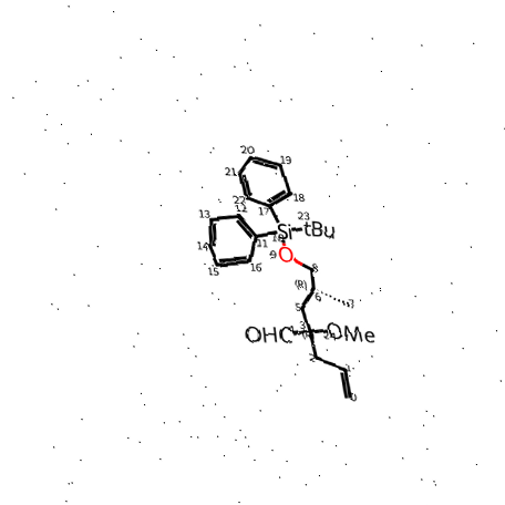 C=CC[C@](C=O)(C[C@@H](C)CO[Si](c1ccccc1)(c1ccccc1)C(C)(C)C)OC